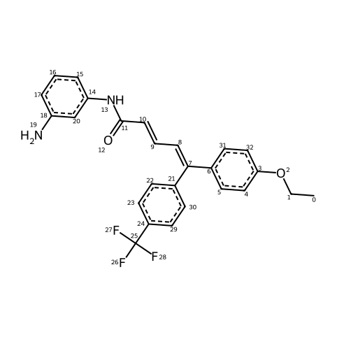 CCOc1ccc(/C(=C/C=C/C(=O)Nc2cccc(N)c2)c2ccc(C(F)(F)F)cc2)cc1